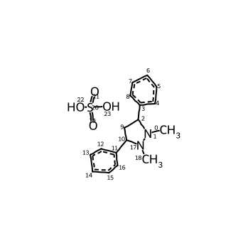 CN1C(c2ccccc2)CC(c2ccccc2)N1C.O=S(=O)(O)O